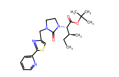 CC[C@H](C)[C@@H](C(=O)OC(C)(C)C)N1CCN(Cc2csc(-c3ccccn3)n2)C1=O